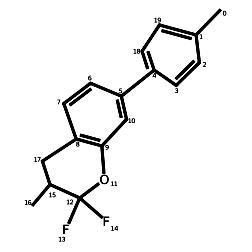 Cc1ccc(-c2ccc3c(c2)OC(F)(F)C(C)C3)cc1